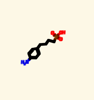 Nc1ccc(CCCCS(=O)(=O)O)cc1